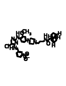 COc1cc(N2CCN(CCCNC(=O)CC3[C@H]4C[C@H]5CC[C@@H]3[C@@H]5C4)CC2)ccc1Nc1ncc(Cl)c(NCc2cccc([N+](=O)[O-])c2)n1